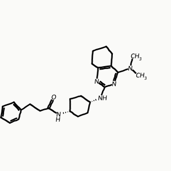 CN(C)c1nc(N[C@H]2CC[C@@H](NC(=O)CCc3ccccc3)CC2)nc2c1CCCC2